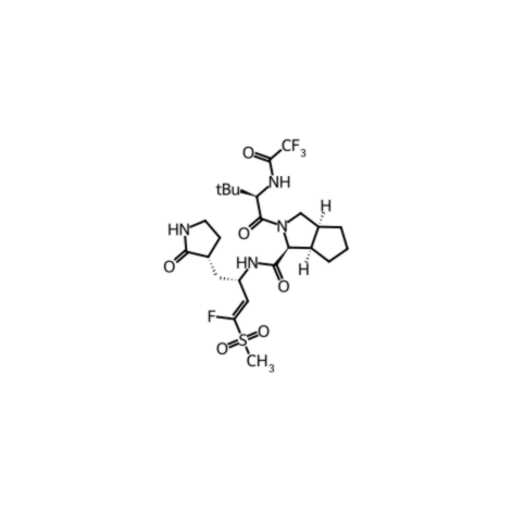 CC(C)(C)[C@@H](NC(=O)C(F)(F)F)C(=O)N1C[C@H]2CCC[C@H]2[C@H]1C(=O)N[C@H](/C=C(\F)S(C)(=O)=O)C[C@H]1CCNC1=O